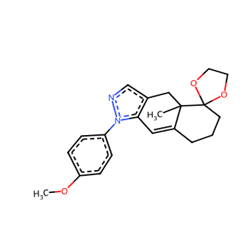 COc1ccc(-n2ncc3c2C=C2CCCC4(OCCO4)C2(C)C3)cc1